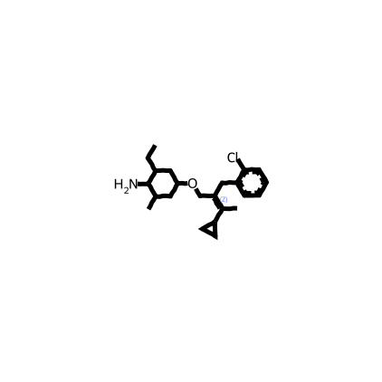 CCC1CC(OC/C(Cc2ccccc2Cl)=C(/C)C2CC2)CC(C)C1N